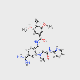 COc1cc(C(=O)NCc2ccc(C(=N)N)cc2N(C)CC(=O)Nc2ccccn2)cc(OC)c1C